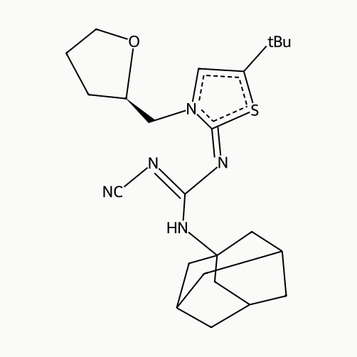 CC(C)(C)c1cn(C[C@H]2CCCO2)c(=NC(=NC#N)NC23CC4CC(CC(C4)C2)C3)s1